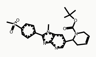 Cn1c(-c2ccc(S(C)(=O)=O)cc2)nc2ncc(C3CC=CCN3C(=O)OC(C)(C)C)cc21